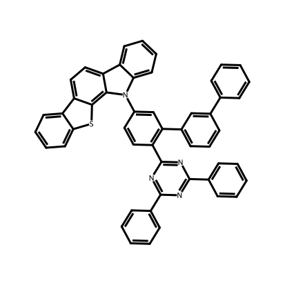 c1ccc(-c2cccc(-c3cc(-n4c5ccccc5c5ccc6c7ccccc7sc6c54)ccc3-c3nc(-c4ccccc4)nc(-c4ccccc4)n3)c2)cc1